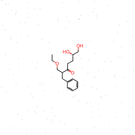 CCOCC(Cc1ccccc1)C(=O)CC[C@@H](O)CO